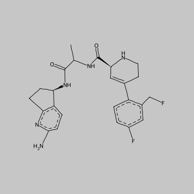 CC(NC(=O)[C@@H]1C=C(c2ccc(F)cc2CF)CCN1)C(=O)N[C@@H]1CCc2nc(N)ccc21